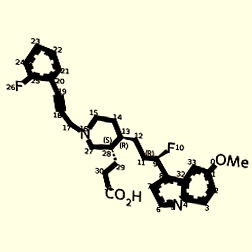 COc1ccc2nccc([C@H](F)CC[C@@H]3CCN(CC#Cc4ccccc4F)C[C@H]3CCC(=O)O)c2c1